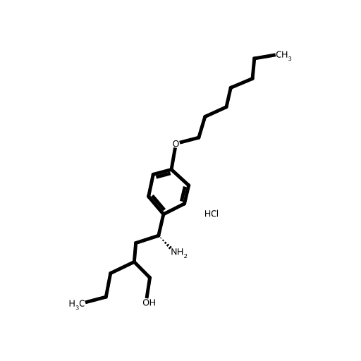 CCCCCCCOc1ccc([C@H](N)CC(CO)CCC)cc1.Cl